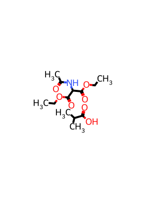 CC(C)C(=O)O.CCOC(=O)C(NC(C)=O)C(=O)OCC